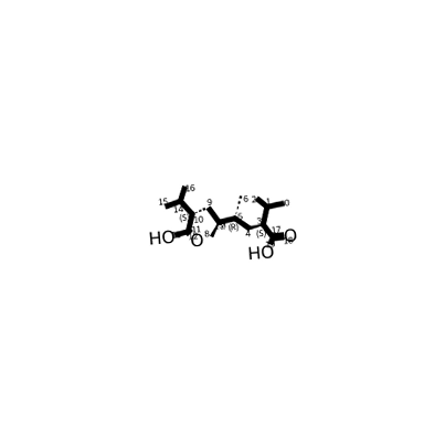 CC(C)[C@H](C[C@@H](C)[C@@H](C)C[C@H](C(=O)O)C(C)C)C(=O)O